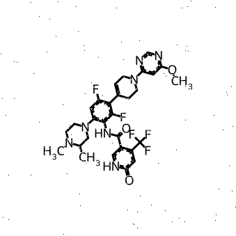 COc1cc(N2CC=C(c3c(F)cc(N4CCN(C)C(C)C4)c(NC(=O)c4c[nH]c(=O)cc4C(F)(F)F)c3F)CC2)ncn1